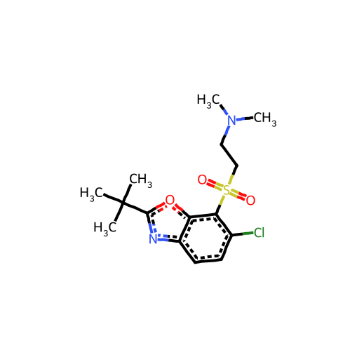 CN(C)CCS(=O)(=O)c1c(Cl)ccc2nc(C(C)(C)C)oc12